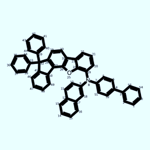 c1ccc(-c2ccc(N(c3ccc4ccccc4c3)c3cccc4c3oc3c5c(ccc34)C(c3ccccc3)(c3ccccc3)c3ccccc3-5)cc2)cc1